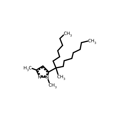 CCCCCCCC(C)(CCCCCC)c1cc(C)nn1C